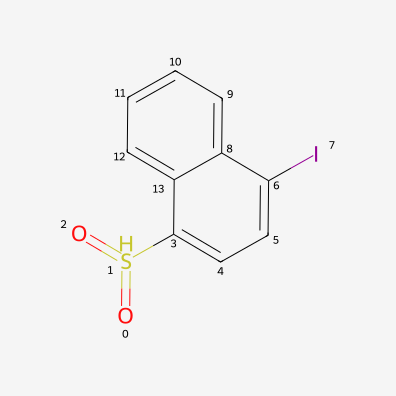 O=[SH](=O)c1ccc(I)c2ccccc12